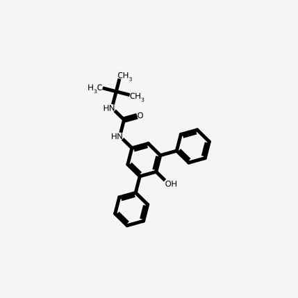 CC(C)(C)NC(=O)Nc1cc(-c2ccccc2)c(O)c(-c2ccccc2)c1